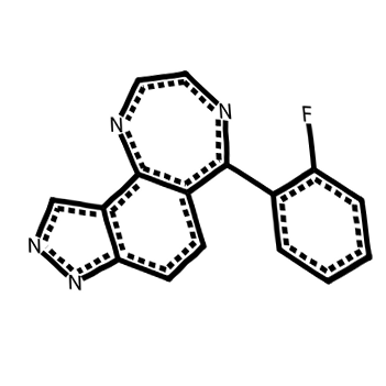 Fc1ccccc1-c1nccnc2c1ccc1nncc12